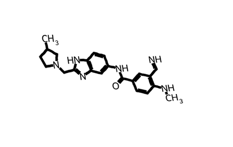 CNc1ccc(C(=O)Nc2ccc3[nH]c(CN4CCC(C)C4)nc3c2)cc1C=N